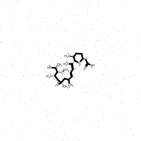 CO[C@H]([C@@H](C)[C@H]1O[C@]1(C)CC(C)/C=C/C=C(\C)[C@H]1O[C@@H](CC(=O)O)CC[C@@H]1C)[C@@H](C)O